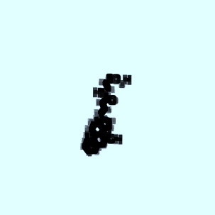 CC12CCCCC1CC(O)[C@H]1C3CC[C@H](CCCC(=O)NCCS(=O)(=O)O)[C@@]3(C)CC[C@H]12